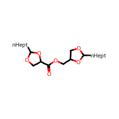 CCCCCCCC1OCC(COC(=O)C2COC(CCCCCCC)O2)O1